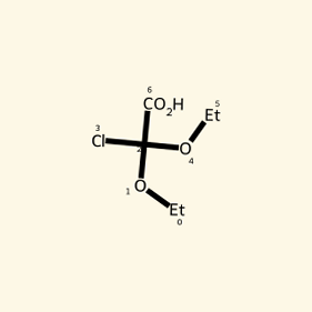 CCOC(Cl)(OCC)C(=O)O